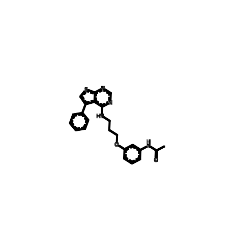 CC(=O)Nc1cccc(OCCCNc2ncnc3scc(-c4ccccc4)c23)c1